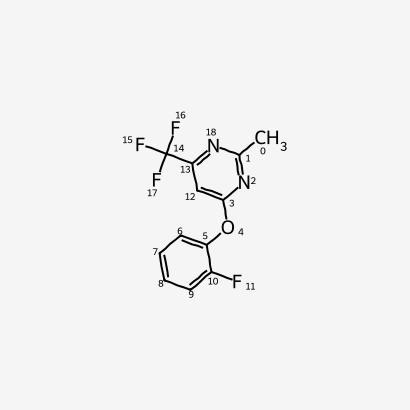 Cc1nc(Oc2ccccc2F)cc(C(F)(F)F)n1